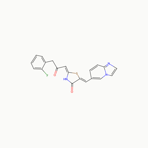 O=C(/C=c1\[nH]c(=O)/c(=C/c2ccc3nccn3c2)s1)Cc1ccccc1F